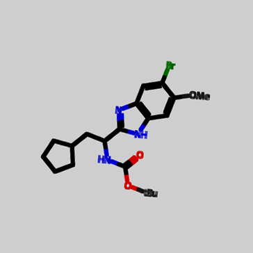 COc1cc2[nH]c(C(CC3CCCC3)NC(=O)OC(C)(C)C)nc2cc1Br